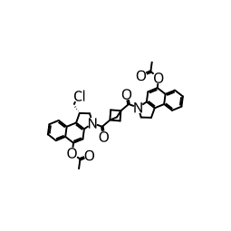 CC(=O)Oc1cc2c(c3ccccc13)CCN2C(=O)C12CC(C(=O)N3C[C@@H](CCl)c4c3cc(OC(C)=O)c3ccccc43)(C1)C2